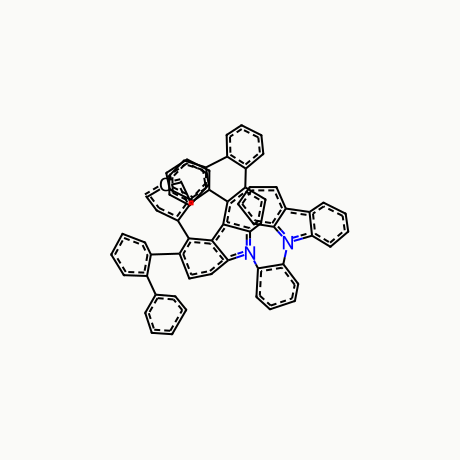 c1ccc(-c2ccccc2-c2ccc3c(c2-c2ccccc2)c2c(-c4ccccc4)c(-c4ccccc4-c4ccccc4)ccc2n3-c2ccccc2-n2c3ccccc3c3ccccc32)cc1